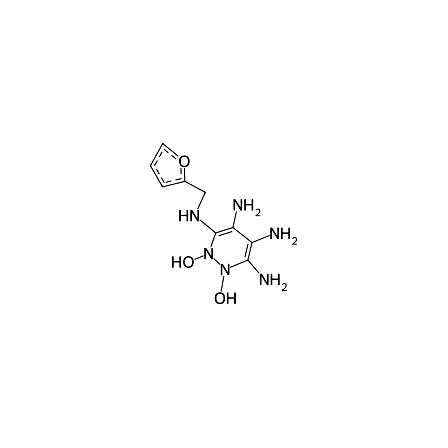 NC1=C(N)N(O)N(O)C(NCc2ccco2)=C1N